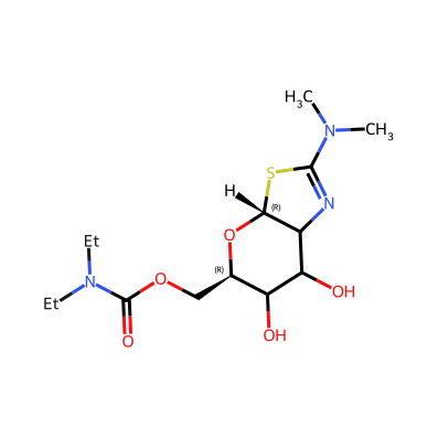 CCN(CC)C(=O)OC[C@H]1O[C@@H]2SC(N(C)C)=NC2C(O)C1O